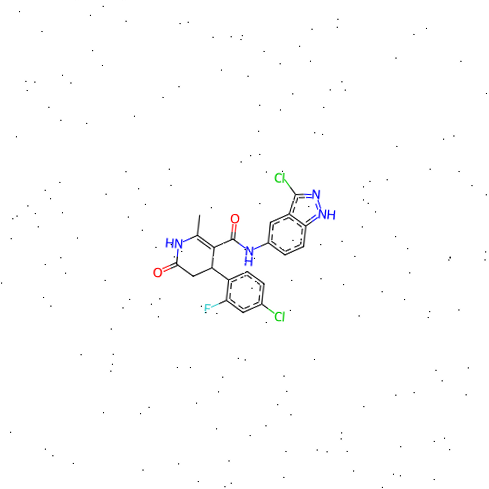 CC1=C(C(=O)Nc2ccc3[nH]nc(Cl)c3c2)C(c2ccc(Cl)cc2F)CC(=O)N1